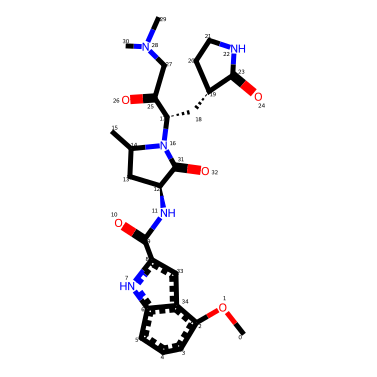 COc1cccc2[nH]c(C(=O)N[C@H]3CC(C)N([C@@H](C[C@@H]4CCNC4=O)C(=O)CN(C)C)C3=O)cc12